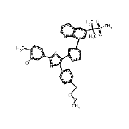 COOSc1ccc(-c2nc(-c3ccc(C)[n+]([O-])c3)sc2-c2cccc(-c3cc(C(C)(C)S(C)(=O)=O)cc4cccnc34)c2)cc1